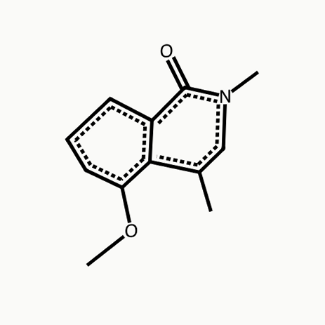 COc1cccc2c(=O)n(C)cc(C)c12